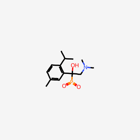 Cc1ccc(C(C)C)c(C(O)(CN(C)C)P(=O)=O)c1